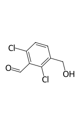 O=Cc1c(Cl)ccc(CO)c1Cl